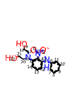 O=[N+]([O-])c1c(Nc2ccccc2)cccc1N(CCO)CCO